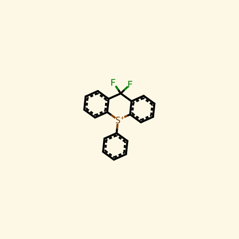 FC1(F)c2ccccc2[S+](c2ccccc2)c2ccccc21